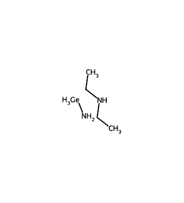 CCNCC.[NH2][GeH3]